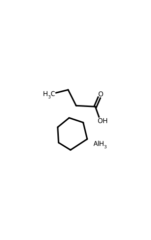 C1CCCCC1.CCCC(=O)O.[AlH3]